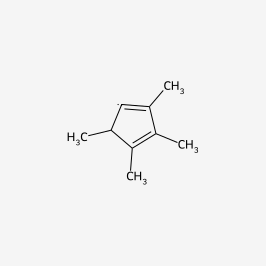 CC1=[C]C(C)C(C)=C1C